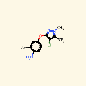 CC(=O)c1cc(Oc2nn(C)c(C(F)(F)F)c2Cl)ccc1N